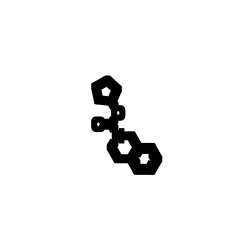 O=C(OC1CCCC1)N1CCc2ccccc2C1